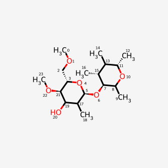 COC[C@@H]1O[C@@H](O[C@@H]2C(C)O[C@@H](C)C(C)[C@H]2C)C(C)C(O)[C@H]1OC